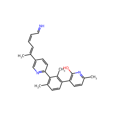 C/C(=C\C=C/C=N)c1ccc(-c2c(C)ccc(-c3ccc(C)nc3O)c2C)nc1